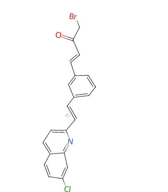 O=C(C=Cc1cccc(/C=C/c2ccc3ccc(Cl)cc3n2)c1)CBr